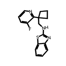 Fc1cccnc1C1(CNc2nc3ccccc3s2)CCC1